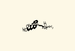 N=C(N)NCCCOc1ccc2c(c1)N(Cc1ccccc1)C(=O)C(CC(=O)O)C2